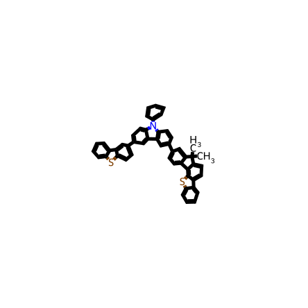 CC1(C)c2cc(-c3ccc4c(c3)c3cc(-c5ccc6sc7ccccc7c6c5)ccc3n4-c3ccccc3)ccc2-c2c1ccc1c2sc2ccccc21